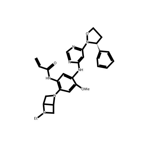 C=CC(=O)Nc1cc(Nc2cc(N3OCC[C@@H]3c3ccccc3)ncn2)c(OC)cc1N1CC2C1CN2CC